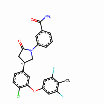 N#Cc1c(F)cc(Oc2cc([C@H]3CC(=O)N(c4cccc(C(N)=O)c4)C3)ccc2Cl)cc1F